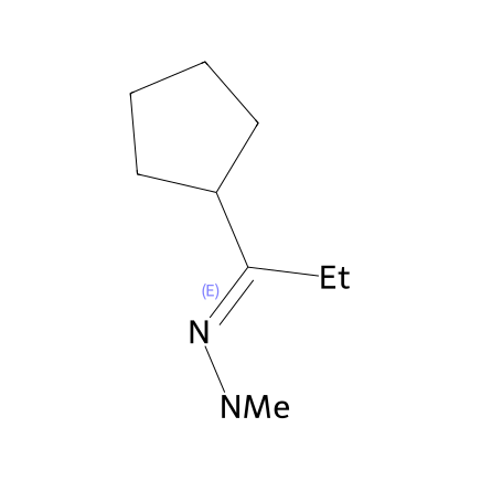 CC/C(=N\NC)C1CCCC1